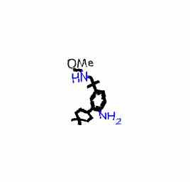 COCCNCC(C)(C)c1ccc(N)c(C2=CCC(C)(C)CC2)c1